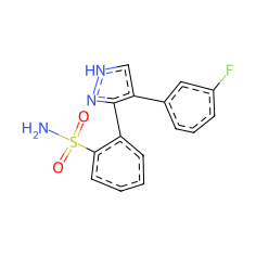 NS(=O)(=O)c1ccccc1-c1n[nH]cc1-c1cccc(F)c1